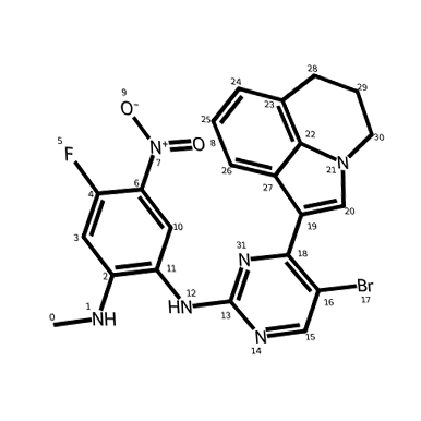 CNc1cc(F)c([N+](=O)[O-])cc1Nc1ncc(Br)c(-c2cn3c4c(cccc24)CCC3)n1